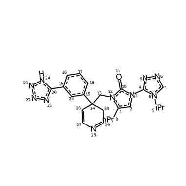 CCCc1cn(-c2nncn2C(C)C)c(=O)n1CC1(c2cccc(-c3nnn[nH]3)c2)C=CN=CC1